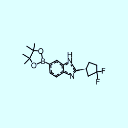 CC1(C)OB(c2ccc3nc([C@H]4CCC(F)(F)C4)[nH]c3c2)OC1(C)C